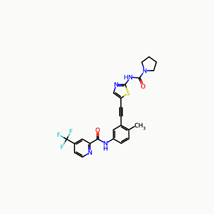 Cc1ccc(NC(=O)c2cc(C(F)(F)F)ccn2)cc1C#Cc1cnc(NC(=O)N2CCCC2)s1